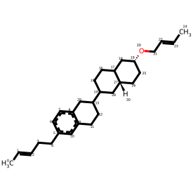 C/C=C/CCc1ccc2c(c1)CCC(C1CCC3C[C@H](OC/C=C/C)CC[C@@H]3C1)C2